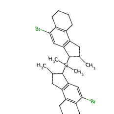 CC1Cc2c(cc(Br)c3c2CCCC3)C1[Si](C)(C)C1c2cc(Br)c3c(c2CC1C)CCCC3